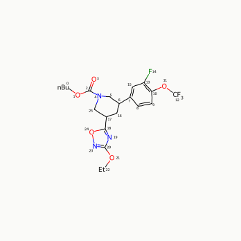 CCCCOC(=O)N1CC(c2ccc(OC(F)(F)F)c(F)c2)CC(c2nc(OCC)no2)C1